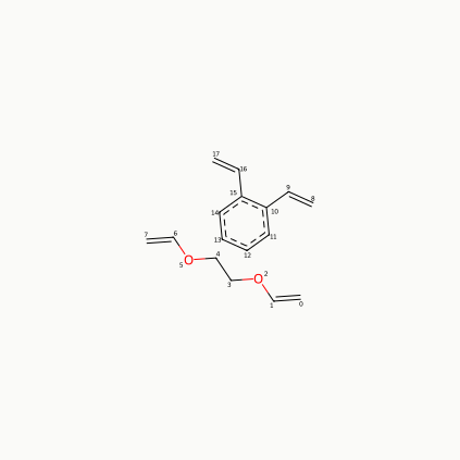 C=COCCOC=C.C=Cc1ccccc1C=C